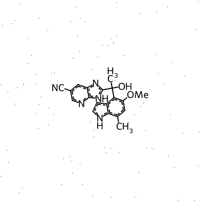 COc1cc(C)c2[nH]ccc2c1C(C)(O)c1nc2cc(C#N)cnc2[nH]1